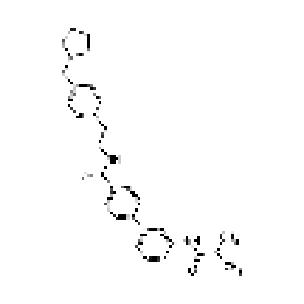 CC(C)C(=O)Nc1cccc(-c2ccc(C(=O)NCCc3ccc(CN4CCCC4)cc3)cc2)c1